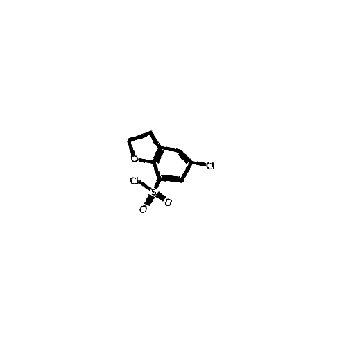 O=S(=O)(Cl)c1cc(Cl)cc2c1OCC2